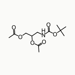 CC(=O)OCC(CNC(=O)OC(C)(C)C)OC(C)=O